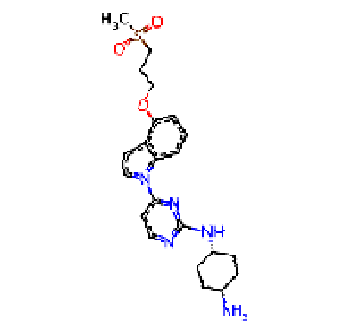 CS(=O)(=O)CCCOc1cccc2c1ccn2-c1ccnc(N[C@H]2CC[C@H](N)CC2)n1